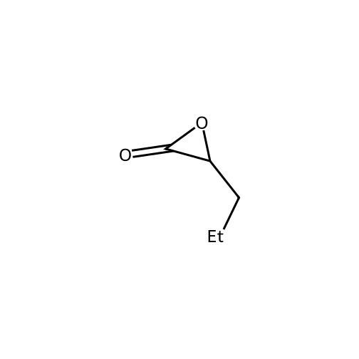 CCCC1OC1=O